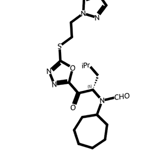 CC(C)C[C@@H](C(=O)c1nnc(SCCn2cccn2)o1)N(C=O)C1CCCCCC1